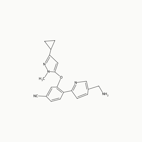 Cn1nc(C2CC2)cc1Oc1cc(C#N)ccc1-c1ccc(CN)cn1